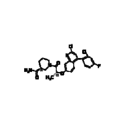 C[C@@H](Oc1ccc2c(-c3ccc(F)cc3Cl)cc(Cl)nc2c1)C(=O)N1CCC[C@H](C(N)=O)C1